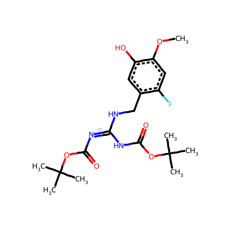 COc1cc(F)c(CN/C(=N/C(=O)OC(C)(C)C)NC(=O)OC(C)(C)C)cc1O